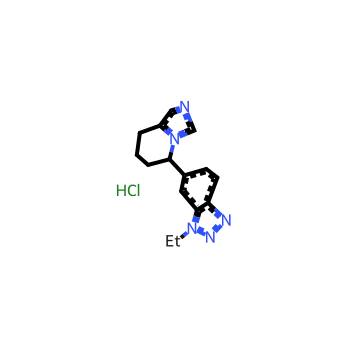 CCn1nnc2ccc(C3CCCc4cncn43)cc21.Cl